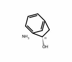 N.O[C@H]1Cc2cccc1c2